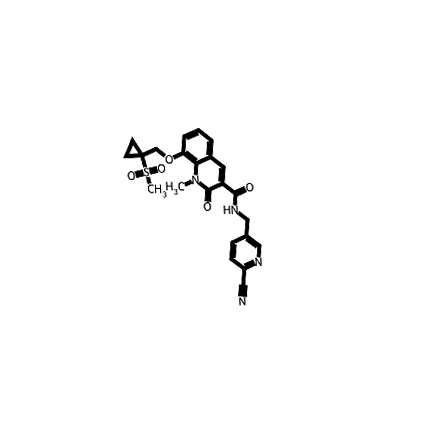 Cn1c(=O)c(C(=O)NCc2ccc(C#N)nc2)cc2cccc(OCC3(S(C)(=O)=O)CC3)c21